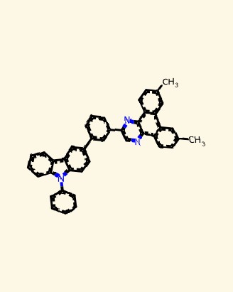 Cc1ccc2c(c1)c1cc(C)ccc1c1nc(-c3cccc(-c4ccc5c(c4)c4ccccc4n5-c4ccccc4)c3)cnc21